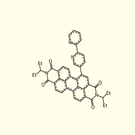 CCC(CC)N1C(=O)c2ccc3c4ccc5c6c(cc(-c7ccc(-c8ccccn8)nc7)c(c7ccc(c2c37)C1=O)c64)C(=O)N(C(CC)CC)C5=O